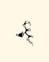 COC(=O)C([N+]#N)C(=O)OC